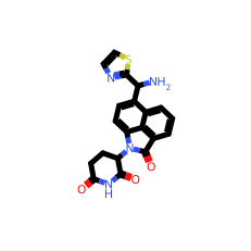 NC(c1nccs1)c1ccc2c3c(cccc13)C(=O)N2C1CCC(=O)NC1=O